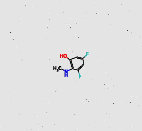 CNc1c(O)cc(F)cc1F